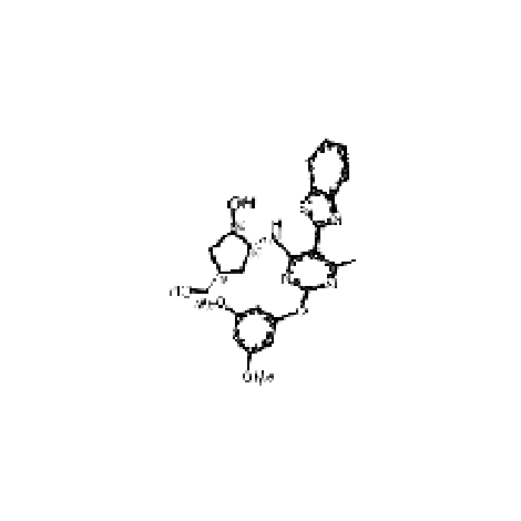 COc1cc(OC)cc(Oc2nc(C)c(-c3nc4ccccc4s3)c(N[C@@H]3C[C@H](CO)C[C@H]3O)n2)c1